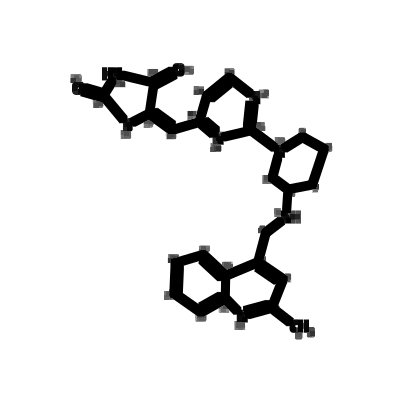 Cc1cc(CNC2CCCN(c3nccc(C=C4SC(=O)NC4=O)n3)C2)c2ccccc2n1